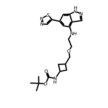 CC(C)(C)OC(=O)NC1CC(COCCNc2cc(-c3cnns3)cc3[nH]ncc23)C1